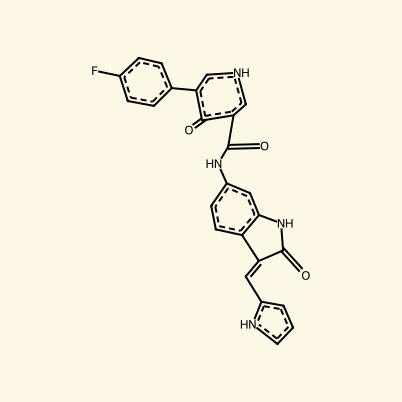 O=C1Nc2cc(NC(=O)c3c[nH]cc(-c4ccc(F)cc4)c3=O)ccc2C1=Cc1ccc[nH]1